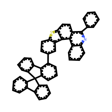 c1ccc(-c2nc3ccccc3c3c2ccc2sc4ccc(-c5cccc6c5-c5ccccc5C65c6ccccc6-c6ccccc65)cc4c23)cc1